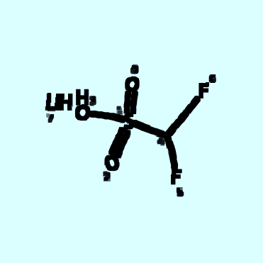 O=S(=O)(O)C(F)F.[LiH]